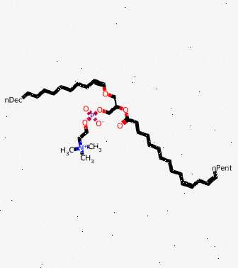 CCCCC/C=C\C/C=C\CCCCCCCCCC(=O)O[C@H](CO/C=C\CCCCCCCCCCCCCCCCCC)COP(=O)([O-])OCC[N+](C)(C)C